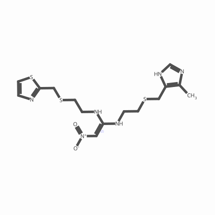 Cc1nc[nH]c1CSCCN/C(=C/[N+](=O)[O-])NCCSCc1nccs1